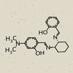 CN(C)c1ccc(C=N[C@@H]2CCCC[C@H]2N=Cc2ccccc2O)c(O)c1